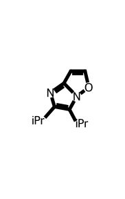 CC(C)c1nc2ccon2c1C(C)C